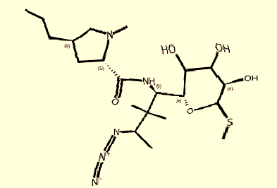 CCC[C@@H]1C[C@@H](C(=O)N[C@@H]([C@H]2OC(SC)[C@H](O)C(O)C2O)C(C)(C)C(C)N=[N+]=[N-])N(C)C1